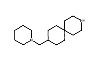 C1CCN(CC2CCC3(CCNCC3)CC2)CC1